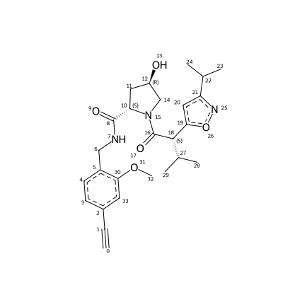 C#Cc1ccc(CNC(=O)[C@@H]2C[C@@H](O)CN2C(=O)[C@H](c2cc(C(C)C)no2)C(C)C)c(OC)c1